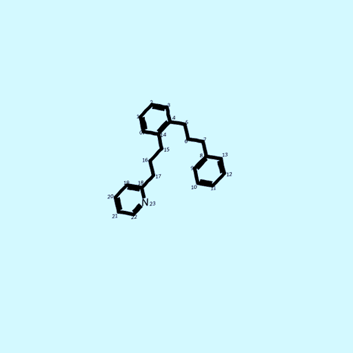 [c]1cccc(CCCc2ccccc2)c1CCCc1ccccn1